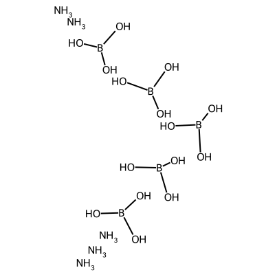 N.N.N.N.N.OB(O)O.OB(O)O.OB(O)O.OB(O)O.OB(O)O